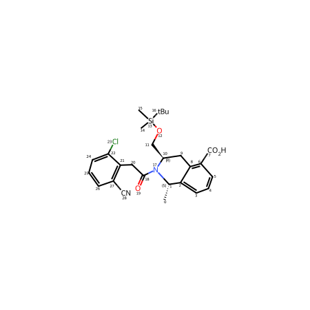 C[C@H]1c2cccc(C(=O)O)c2C[C@H](CO[Si](C)(C)C(C)(C)C)N1C(=O)Cc1c(Cl)cccc1C#N